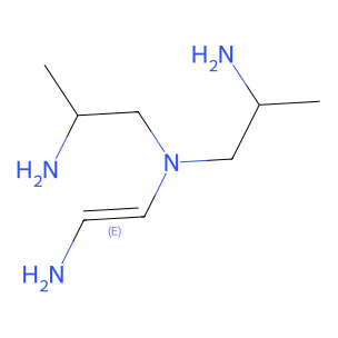 CC(N)CN(/C=C/N)CC(C)N